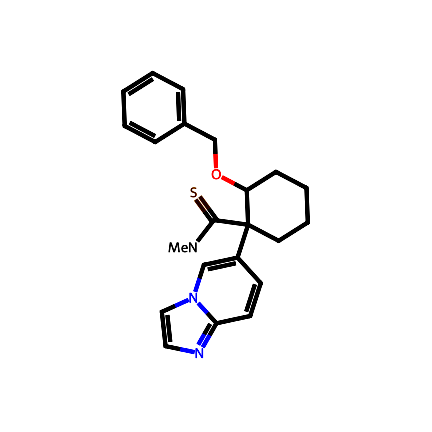 CNC(=S)C1(c2ccc3nccn3c2)CCCCC1OCc1ccccc1